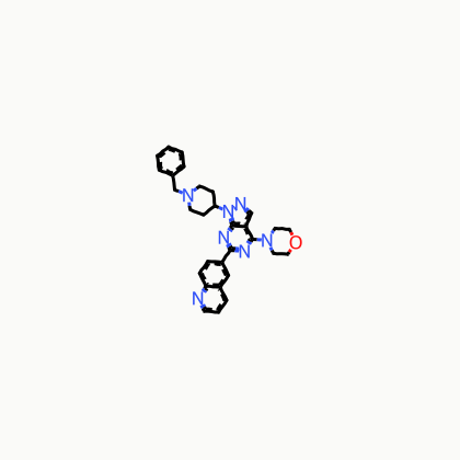 c1ccc(CN2CCC(n3ncc4c(N5CCOCC5)nc(-c5ccc6ncccc6c5)nc43)CC2)cc1